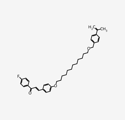 C=C(C)c1ccc(COCCCCCCCCCCCCOc2ccc(C=CC(=O)c3ccc(F)cc3)cc2)cc1